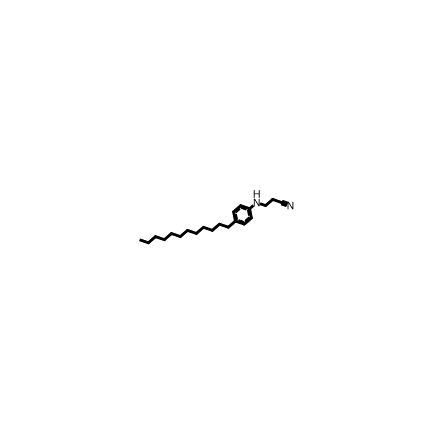 CCCCCCCCCCCCc1ccc(NCCC#N)cc1